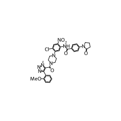 COc1ccccc1-c1nnn(C)c1C(=O)N1CCN(c2cc(NC(=O)c3ccc(N4CCCC4=O)cc3)c([N+](=O)[O-])cc2Cl)CC1